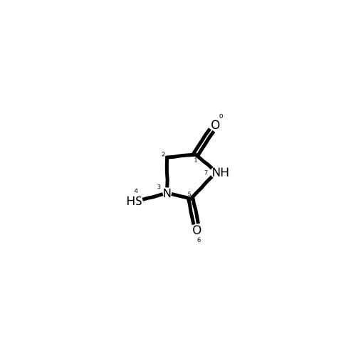 O=C1CN(S)C(=O)N1